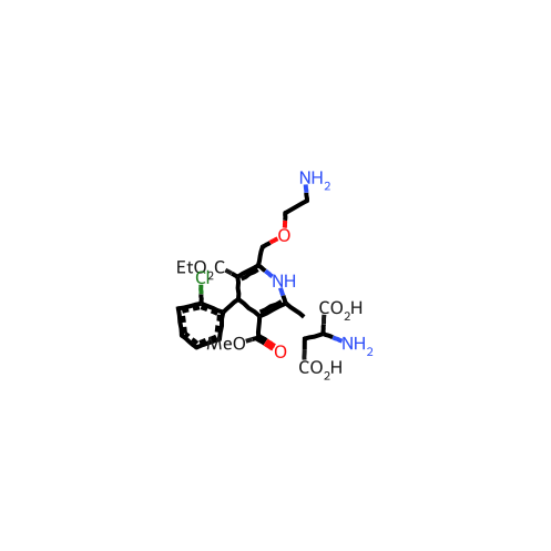 CCOC(=O)C1=C(COCCN)NC(C)=C(C(=O)OC)C1c1ccccc1Cl.NC(CC(=O)O)C(=O)O